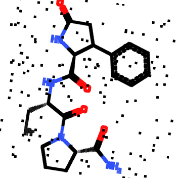 CC(C)C[C@H](NC(=O)[C@H]1NC(=O)CC1c1ccccc1)C(=O)N1CCC[C@H]1C(N)=O